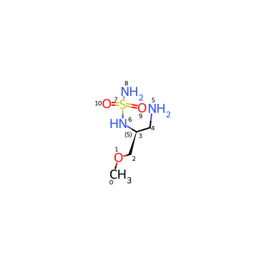 COC[C@H](CN)NS(N)(=O)=O